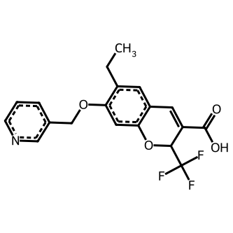 CCc1cc2c(cc1OCc1cccnc1)OC(C(F)(F)F)C(C(=O)O)=C2